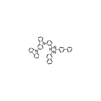 c1ccc(-c2ccc(-c3nc(-c4cccc(-n5c6ccccc6c6cc(-n7c8ccccc8c8ccccc87)ccc65)c4)nc(-c4ccc5ccccc5c4)n3)cc2)cc1